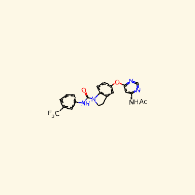 CC(=O)Nc1cc(Oc2ccc3c(c2)CCN3C(=O)Nc2cccc(C(F)(F)F)c2)ncn1